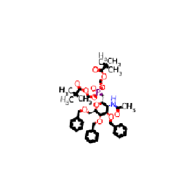 CC(=O)N[C@@H]1[C@@H](OCc2ccccc2)[C@H](OCc2ccccc2)[C@@H](COCc2ccccc2)O[C@@H]1CP(=O)(OCOC(=O)C(C)(C)C)OCOC(=O)C(C)(C)C